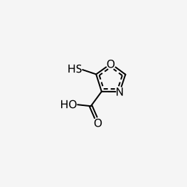 O=C(O)c1ncoc1S